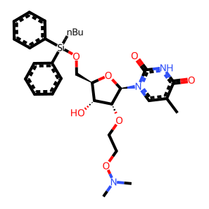 CCCC[Si](OC[C@H]1O[C@@H](n2cc(C)c(=O)[nH]c2=O)[C@H](OCCON(C)C)[C@@H]1O)(c1ccccc1)c1ccccc1